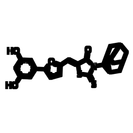 O=C1/C(=C/c2ccc(-c3cc(O)cc(O)c3)o2)SC(=S)N1C1C2CC3CC(C2)CC1C3